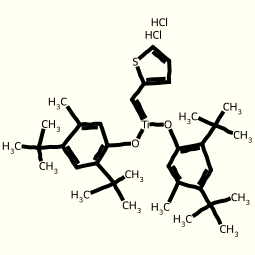 Cc1cc([O][Ti](=[CH]c2cccs2)[O]c2cc(C)c(C(C)(C)C)cc2C(C)(C)C)c(C(C)(C)C)cc1C(C)(C)C.Cl.Cl